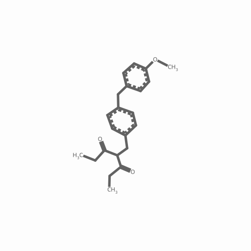 CCC(=O)C(Cc1ccc(Cc2ccc(OC)cc2)cc1)C(=O)CC